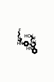 C[C@@H]1Cc2c([nH]c3ccccc23)[C@@H](c2ccc(NC3CN(CCCF)C3)cc2)N1CC(F)[C@@H](C)O